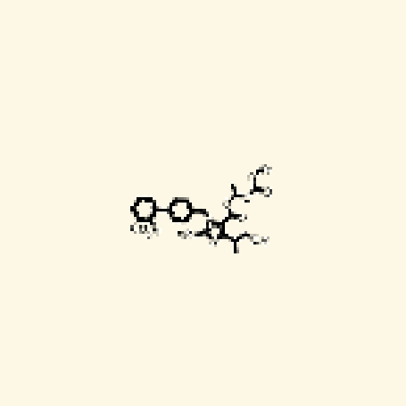 CCCc1nc(C(C)CO)c(C(=O)OC(C)OC(=O)OC(C)C)n1Cc1ccc(-c2ccccc2C(=O)O)cc1